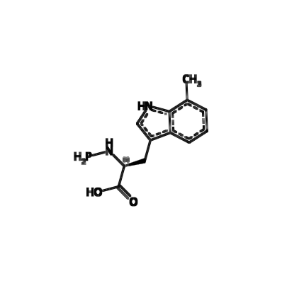 Cc1cccc2c(C[C@H](NP)C(=O)O)c[nH]c12